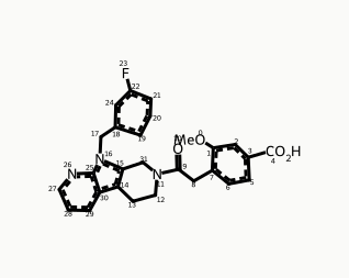 COc1cc(C(=O)O)ccc1CC(=O)N1CCc2c(n(Cc3cccc(F)c3)c3ncccc23)C1